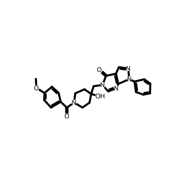 COc1ccc(C(=O)N2CCC(O)(Cn3cnc4c(cnn4-c4ccccc4)c3=O)CC2)cc1